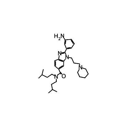 CC(C)CCN(CCC(C)C)C(=O)c1ccc2nc(-c3cccc(N)c3)n(CCCN3CCCCC3)c2c1